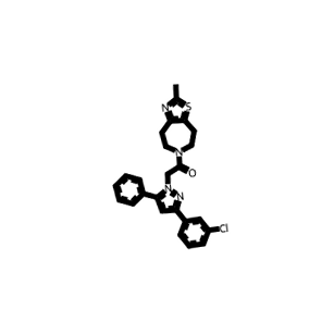 Cc1nc2c(s1)CCN(C(=O)Cn1nc(-c3cccc(Cl)c3)cc1-c1ccccc1)CC2